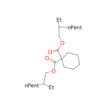 CCCCCC(CC)COC(=O)C1(C(=O)OCC(CC)CCCCC)CCCCC1